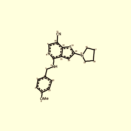 COc1ccc(CNc2ncc(C#N)c3sc(N4CCCC4)cc23)cc1